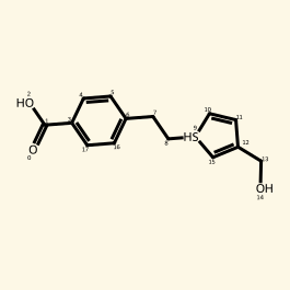 O=C(O)c1ccc(CC[SH]2C=CC(CO)=C2)cc1